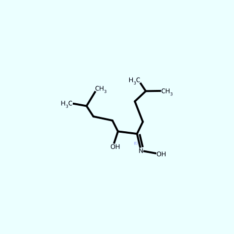 CC(C)CC/C(=N\O)C(O)CCC(C)C